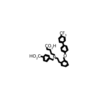 O=C(O)CCCCN(CCc1ccccc1COc1ccc(-c2ccc(C(F)(F)F)cc2)cc1)Cc1ccc(C(=O)O)cc1